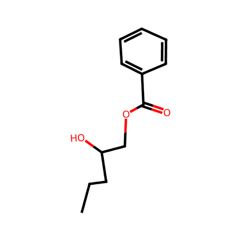 CCCC(O)COC(=O)c1ccccc1